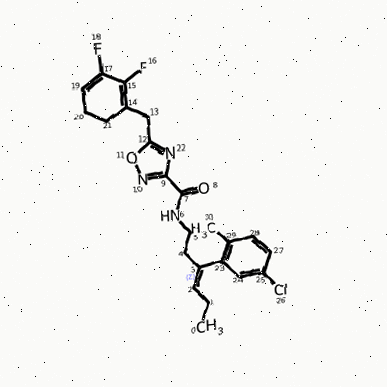 CC/C=C(/CCNC(=O)c1noc(CC2=C(F)C(F)=CCC2)n1)c1cc(Cl)ccc1C